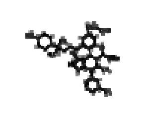 COC(=O)C1=C(C)N(c2cccc(C(F)(F)F)c2)c2n[nH]c(=O)n2C1c1ccc(C#N)cc1CCC[N+](C)(C)C1CCC(O)CC1.O=C[O-]